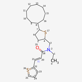 CCN(CC1CCC(C2CCCCCCCC2)S1)C(=O)/C=C/c1cccs1